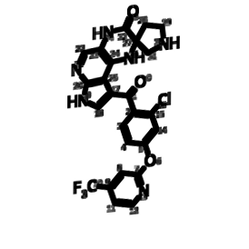 O=C(c1ccc(Oc2cc(C(F)(F)F)ccn2)cc1Cl)c1c[nH]c2ncc3c(c12)NC1(CCNC1)C(=O)N3